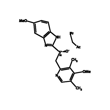 CC(=O)CC(C)C.COc1ccc2[nH]c([S@@+]([O-])Cc3ncc(C)c(OC)c3C)nc2c1